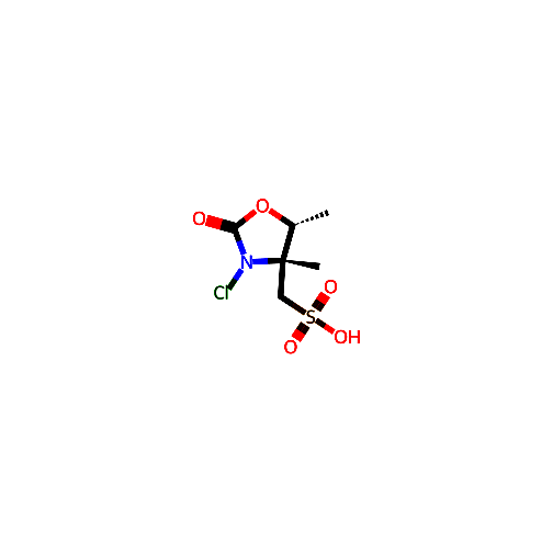 C[C@H]1OC(=O)N(Cl)[C@@]1(C)CS(=O)(=O)O